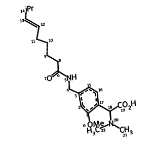 COc1cc(CNC(=O)CCCC/C=C/C(C)C)ccc1C(C(=O)O)N(C)C